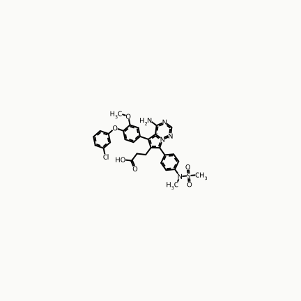 COc1cc(-c2c(CCC(=O)O)c(-c3ccc(N(C)S(C)(=O)=O)cc3)n3ncnc(N)c23)ccc1Oc1cccc(Cl)c1